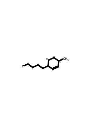 CC1C=CC(CCCCF)CC1